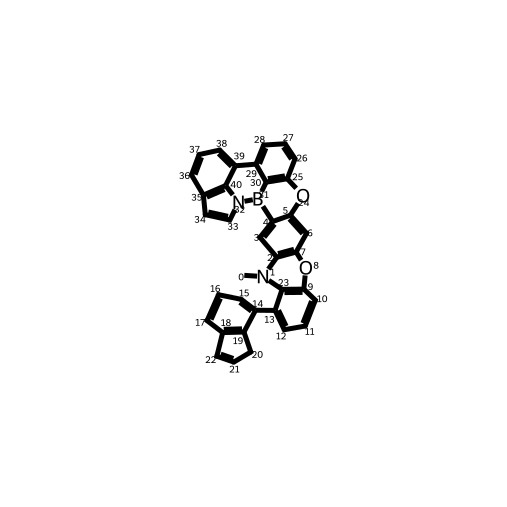 CN1c2cc3c(cc2Oc2cccc(-c4cccc5c4CC=C5)c21)Oc1cccc2c1B3n1ccc3cccc-2c31